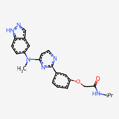 CC(C)NC(=O)COc1cccc(-c2nccc(N(C)c3ccc4[nH]ncc4c3)n2)c1